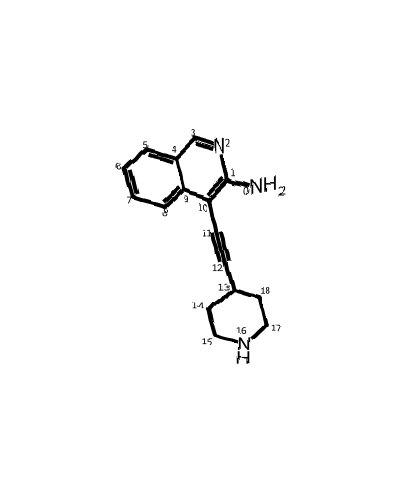 Nc1ncc2ccccc2c1C#CC1CCNCC1